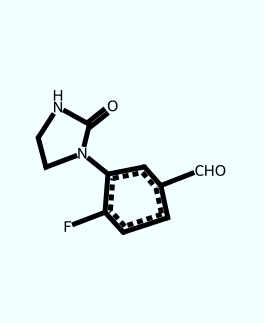 O=Cc1ccc(F)c(N2CCNC2=O)c1